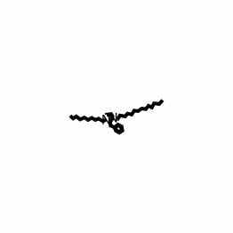 CCCCCCCCCCCCCCN1C=CN(CCCCCCCCCC)C1Cc1ccccc1